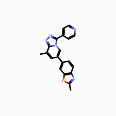 Cc1nc2ccc(-c3cc(C)c4nnc(-c5ccncc5)n4c3)cc2o1